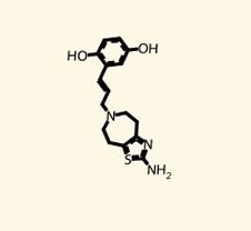 Nc1nc2c(s1)CCN(CC=Cc1cc(O)ccc1O)CC2